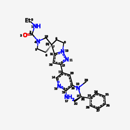 CCNC(=O)N1CC[C@@]2(CCn3nc(-c4cnc(N)c(N(C)[C@H](C)c5ccccc5)c4)cc32)C1